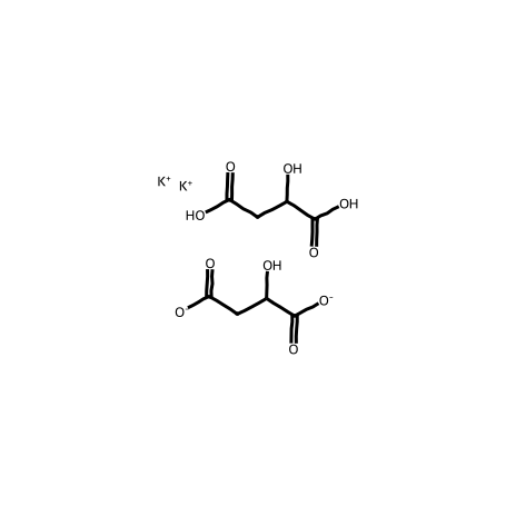 O=C(O)CC(O)C(=O)O.O=C([O-])CC(O)C(=O)[O-].[K+].[K+]